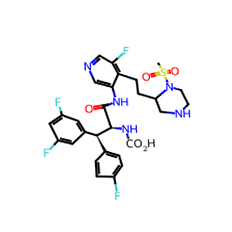 CS(=O)(=O)N1CCNCC1CCc1c(F)cncc1NC(=O)[C@@H](NC(=O)O)[C@@H](c1ccc(F)cc1)c1cc(F)cc(F)c1